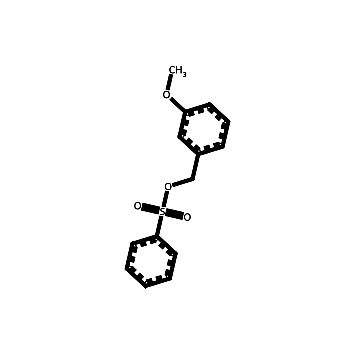 COc1cccc(COS(=O)(=O)c2cc[c]cc2)c1